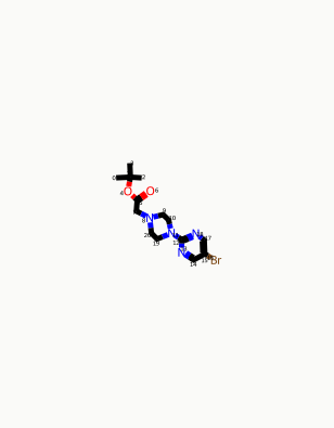 CC(C)(C)OC(=O)CN1CCN(c2ncc(Br)cn2)CC1